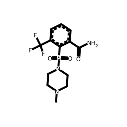 CN1CCN(S(=O)(=O)c2c(C(N)=O)cccc2C(F)(F)F)CC1